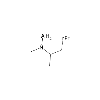 CCCCC(C)[N](C)[AlH2]